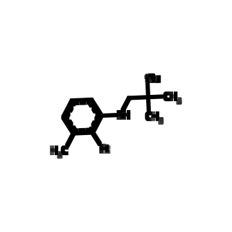 CCc1c(C)cccc1BCC(C)(C)C(C)(C)C